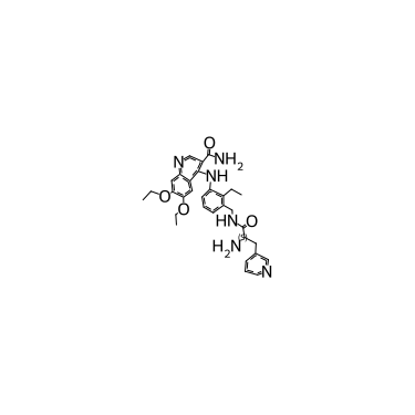 CCOc1cc2ncc(C(N)=O)c(Nc3cccc(CNC(=O)[C@@H](N)Cc4cccnc4)c3CC)c2cc1OCC